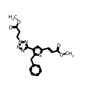 COC(=O)C=Cc1cc(-c2nnn(CCC(=O)OC)n2)c(Cc2ccccc2)s1